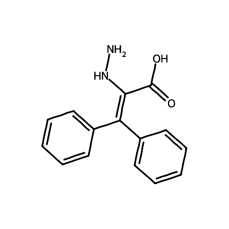 NNC(C(=O)O)=C(c1ccccc1)c1ccccc1